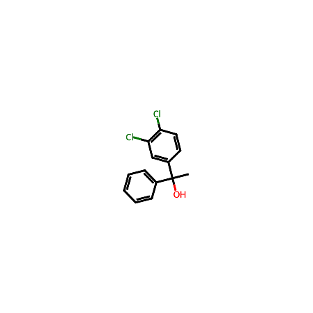 CC(O)(c1ccccc1)c1ccc(Cl)c(Cl)c1